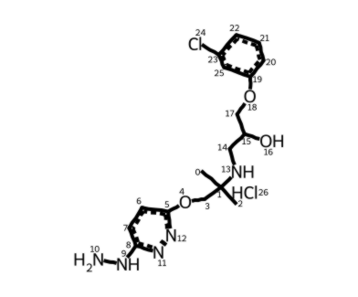 CC(C)(COc1ccc(NN)nn1)NCC(O)COc1cccc(Cl)c1.Cl